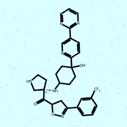 O=C(C1CC(c2cccc(C(F)(F)F)c2)=NO1)[C@]1(NC2CCC(O)(c3ccc(-c4ncccn4)cn3)CC2)CCNC1